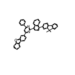 CC1(C)c2ccccc2-c2ccc(-c3ccc(-c4nc(-c5ccccc5)cc(-c5ccc6c(c5)oc5ccccc56)n4)c4ccccc34)cc21